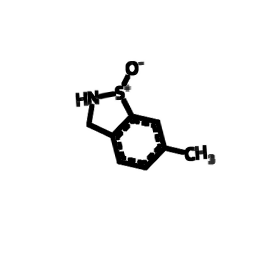 Cc1ccc2c(c1)[S+]([O-])NC2